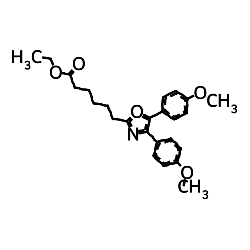 CCOC(=O)CCCCCc1nc(-c2ccc(OC)cc2)c(-c2ccc(OC)cc2)o1